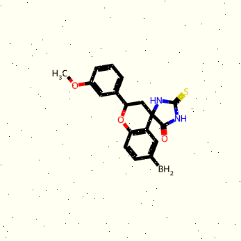 Bc1ccc2c(c1)C1(CC(c3cccc(OC)c3)O2)NC(=S)NC1=O